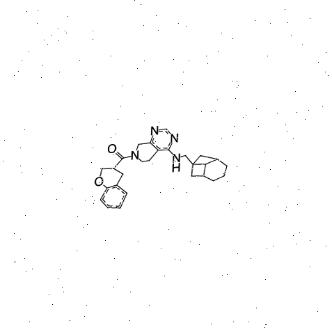 O=C(C1COc2ccccc2C1)N1CCc2c(ncnc2NCC23CC4CCCC(C2)C43)C1